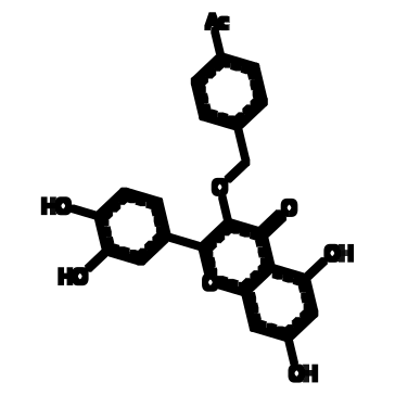 CC(=O)c1ccc(COc2c(-c3ccc(O)c(O)c3)oc3cc(O)cc(O)c3c2=O)cc1